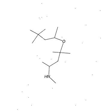 CNC(C)CC(C)(C)OC(C)CC(C)(C)C